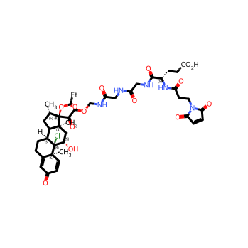 CCC(=O)O[C@]1(C(=O)COCNC(=O)CNC(=O)CNC(=O)[C@H](CCC(=O)O)NC(=O)CCN2C(=O)C=CC2=O)[C@@H](C)CC2[C@@H]3CCC4=CC(=O)C=C[C@]4(C)[C@@]3(Cl)[C@@H](O)C[C@@]21C